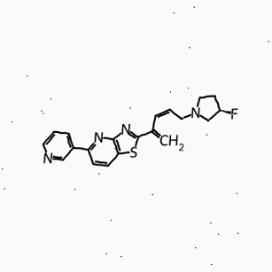 C=C(/C=C\CN1CC[C@@H](F)C1)c1nc2nc(-c3cccnc3)ccc2s1